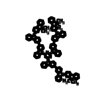 CC1(C)c2ccccc2-c2ccc(-n3c4ccccc4c4cc(-c5ccc6c(c5)c5ccccc5n6-c5cc(-n6c7ccccc7c7cc(-c8ccc9c(c8)c8ccccc8n9-c8ccc9c(c8)C(C)(C)c8ccccc8-9)ccc76)nc(-n6c7ccccc7c7cc(-c8ccc9c(c8)c8ccccc8n9-c8ccc9c(c8)C(C)(C)c8ccccc8-9)ccc76)n5)ccc43)cc21